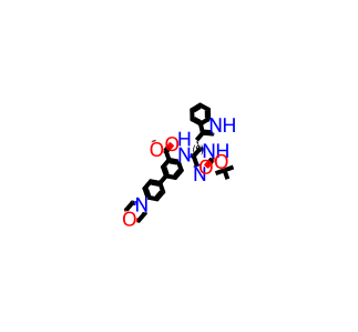 COC(=O)c1cc(-c2ccc(N3CCOCC3)cc2)ccc1NC(C#N)[C@H](Cc1c[nH]c2ccccc12)NC(=O)OC(C)(C)C